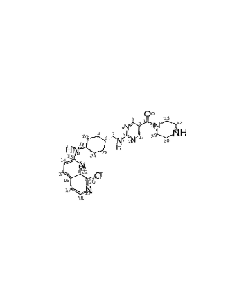 O=C(c1cnc(NC[C@H]2CC[C@H](Nc3ccc4ccnc(Cl)c4n3)CC2)nc1)N1CCNCC1